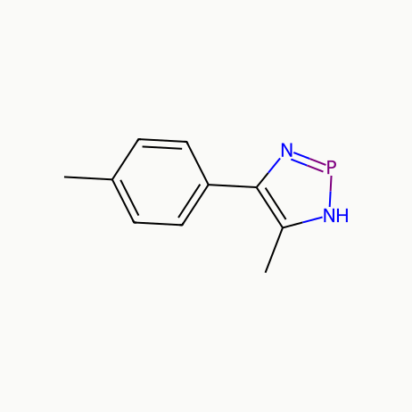 Cc1ccc(-c2np[nH]c2C)cc1